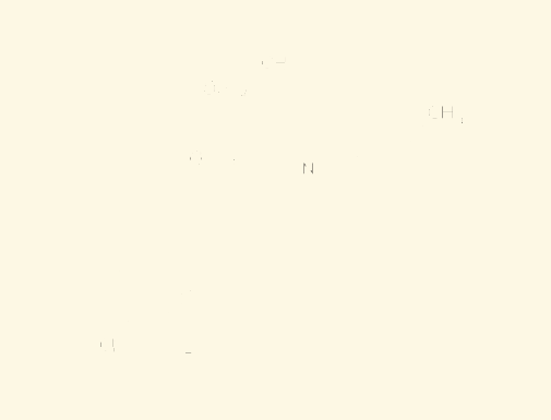 CCCCn1cc(C(=O)O)c(=O)c2cc(Cc3cccc(Cl)c3F)ccc21